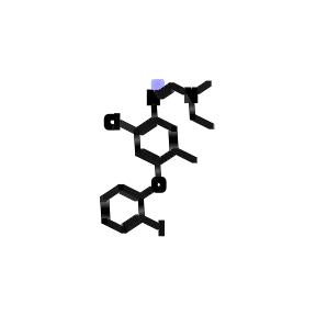 CCN(C)/C=N\c1cc(C)c(Oc2ccccc2I)cc1Cl